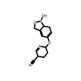 N#CC1C=NC(OC2=CCC3B(O)OCC3=C2)CC1